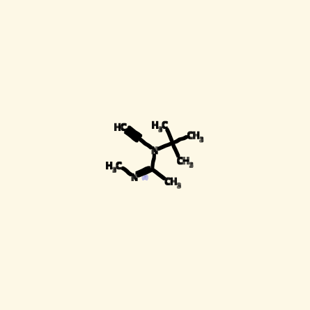 C#CN(/C(C)=N\C)C(C)(C)C